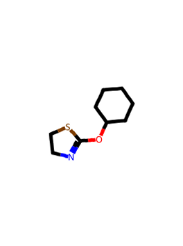 C1CCC(OC2=NCCS2)CC1